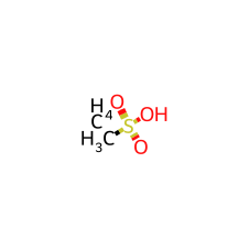 C.CS(=O)(=O)O